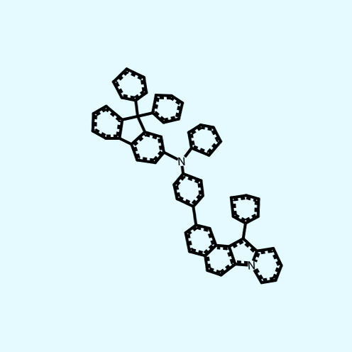 c1ccc(-c2c3c4cc(-c5ccc(N(c6ccccc6)c6ccc7c(c6)C(c6ccccc6)(c6ccccc6)c6ccccc6-7)cc5)ccc4ccc3n3ccccc23)cc1